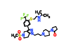 CC(C)NCCSc1cc(-c2nn(CCCN3CCC(N4CCCC4=O)CC3)c3c2CN(S(C)(=O)=O)CC3)ccc1C(F)(F)F